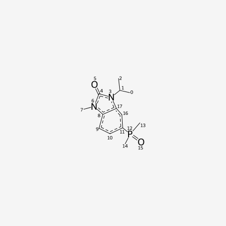 CC(C)n1c(=O)n(C)c2ccc(P(C)(C)=O)cc21